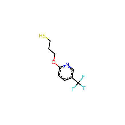 FC(F)(F)c1ccc(OCCCS)nc1